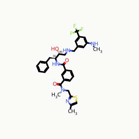 CNc1cc(CNC[C@@H](O)[C@H](Cc2ccccc2)NC(=O)c2cccc(C(=O)N(C)Cc3nc(C)cs3)c2)cc(C(F)(F)F)c1